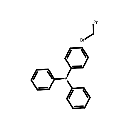 CC(C)CBr.c1ccc(P(c2ccccc2)c2ccccc2)cc1